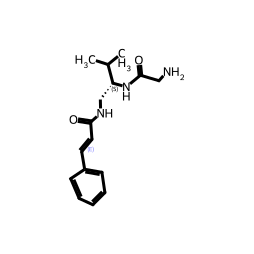 CC(C)[C@@H](CNC(=O)/C=C/c1ccccc1)NC(=O)CN